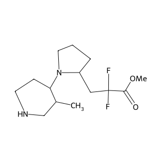 COC(=O)C(F)(F)CC1CCCN1C1CCNCC1C